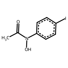 CC(=O)N(O)c1ccc(I)cc1